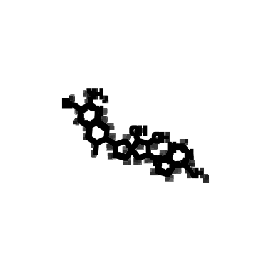 CC1C=c2cc(Br)c(N)nc2=CC1C1C=CC2(C1)CC(n1ccc3c(N)ncnc31)C(O)C2O